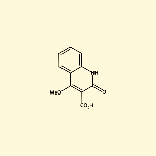 COc1c(C(=O)O)c(=O)[nH]c2ccccc12